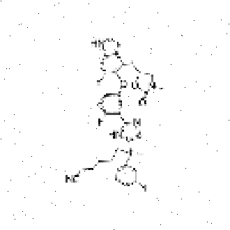 CN1CC(Cc2c(Oc3ccc(F)c(-c4ncc(C(C)(CCCCCC#N)c5cccc(I)c5)[nH]4)c3)c(F)cc3[nH]ccc23)OC1=O